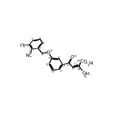 N#Cc1c(Cl)cccc1COc1cccc(C(=O)/C=C(/O)C(=O)O)c1